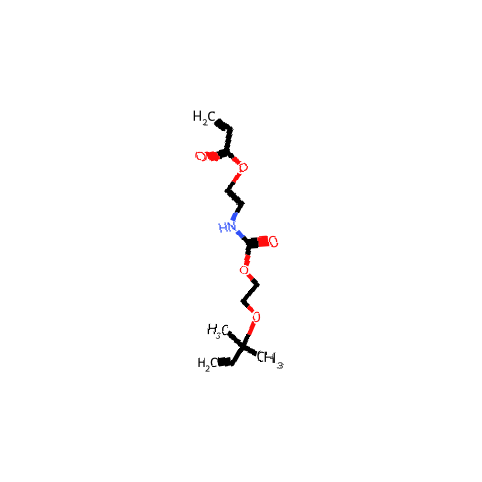 C=CC(=O)OCCNC(=O)OCCOC(C)(C)C=C